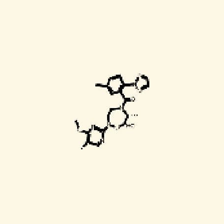 COc1nc(N2CCN(C(=O)c3cc(C)ccc3-n3nccn3)[C@H](C)CO2)ncc1F.Cl